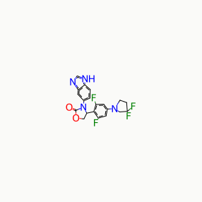 O=C1OCC(c2c(F)cc(N3CCC(F)(F)C3)cc2F)N1c1ccc2[nH]cnc2c1